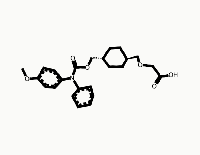 COc1ccc(N(C(=O)OC[C@H]2CC[C@H](COCC(=O)O)CC2)c2ccccc2)cc1